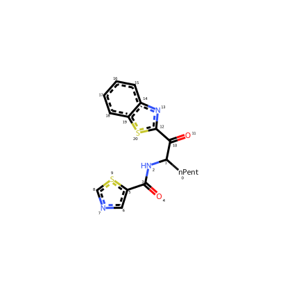 CCCCCC(NC(=O)c1cncs1)C(=O)c1nc2ccccc2s1